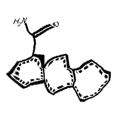 NC(=O)c1cccc2cc3c[c]ccc3cc12